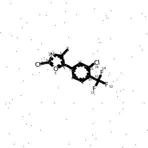 Cc1nc(Cl)oc1-c1ccc(C(F)(F)F)c(Cl)c1